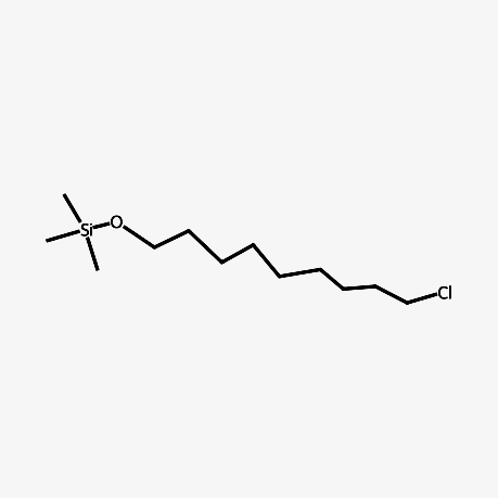 C[Si](C)(C)OCCCCCCCCCCl